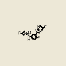 O=C(Nc1ccc(F)c(-c2cn3cc(Cl)cnc3n2)c1)N1CC(F)C1